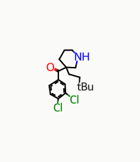 CC(C)(C)CCC1(C(=O)c2ccc(Cl)c(Cl)c2)CCCNC1